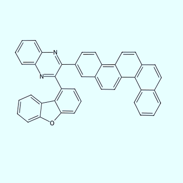 c1ccc2c(c1)ccc1ccc3c4ccc(-c5nc6ccccc6nc5-c5cccc6oc7ccccc7c56)cc4ccc3c12